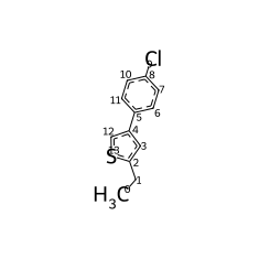 CCc1cc(-c2ccc(Cl)cc2)cs1